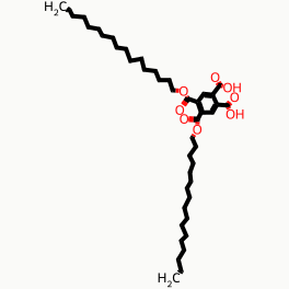 C=CCCCCCCCCCCCCCCCOC(=O)c1cc(C(=O)O)c(C(=O)O)cc1C(=O)OCCCCCCCCCCCCCCCC=C